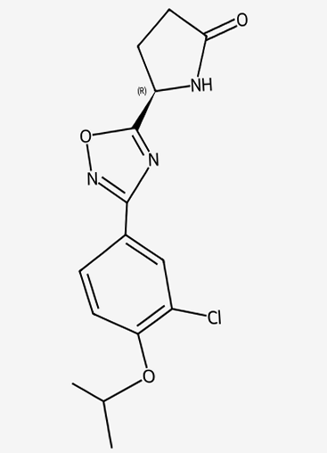 CC(C)Oc1ccc(-c2noc([C@H]3CCC(=O)N3)n2)cc1Cl